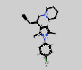 C#C/C=C(\CN1CCCCC1)c1cc(C)n(-c2ccc(Cl)cc2)c1C